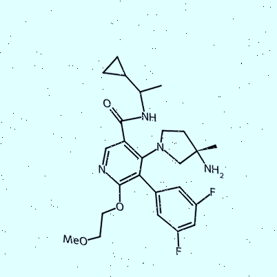 COCCOc1ncc(C(=O)NC(C)C2CC2)c(N2CC[C@](C)(N)C2)c1-c1cc(F)cc(F)c1